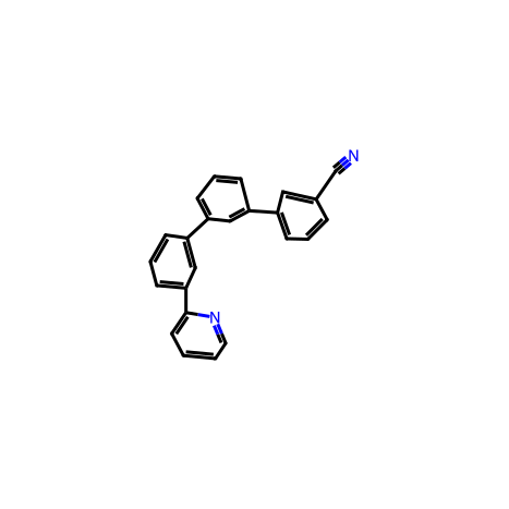 N#Cc1cccc(-c2cccc(-c3cccc(-c4ccccn4)c3)c2)c1